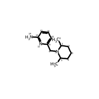 CC1CCCC(C)N1Cc1cccc(N)n1